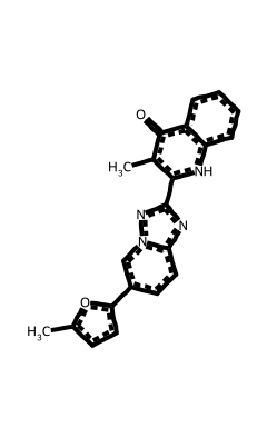 Cc1ccc(-c2ccc3nc(-c4[nH]c5ccccc5c(=O)c4C)nn3c2)o1